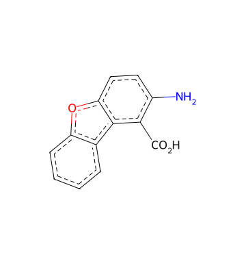 Nc1ccc2oc3ccccc3c2c1C(=O)O